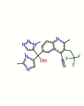 Cc1nc2ccc(C(O)(c3cnnn3C)c3cnc(C)n3C)cc2c(C#N)c1CC(F)(F)F